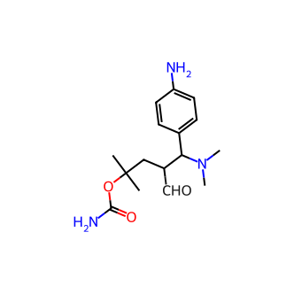 CN(C)C(c1ccc(N)cc1)C(C=O)CC(C)(C)OC(N)=O